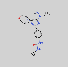 O=C(Nc1ccc(-c2nc(N3C4CCC3COC4)c3cnn(CC(F)(F)F)c3n2)cc1)NC1CC1